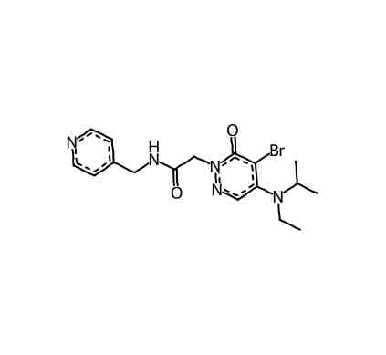 CCN(c1cnn(CC(=O)NCc2ccncc2)c(=O)c1Br)C(C)C